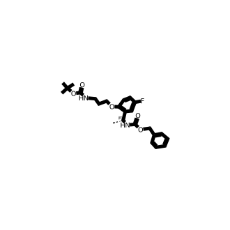 C[C@@H](NC(=O)OCc1ccccc1)c1cc(F)ccc1OCCCNC(=O)OC(C)(C)C